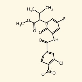 COC(=O)C(C(C)C)n1cc(F)cc(NC(=O)c2ccc([N+](=O)[O-])c(Cl)c2)c1=O